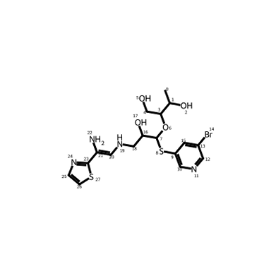 CC(O)C(CO)OC(Sc1cncc(Br)c1)C(O)CN/C=C(\N)c1nccs1